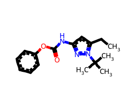 CCc1cc(NC(=O)Oc2ccccc2)nn1C(C)(C)C